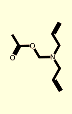 C=CCN(CC=C)COC(C)=O